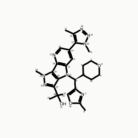 Cc1nc([C@H](C2CCOCC2)n2c3cc(-c4c(C)nnn4C)cnc3c3c2c(C(C)(C)O)nn3C)co1